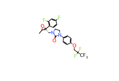 CC1O[C@@]1(CN1CCN(c2ccc(OCC(F)(F)C(F)(F)F)cc2)C1=O)c1ccc(F)cc1F